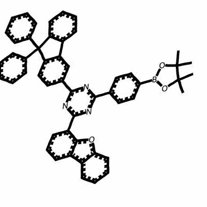 CC1(C)OB(c2ccc(-c3nc(-c4ccc5c(c4)-c4ccccc4C5(c4ccccc4)c4ccccc4)nc(-c4cccc5c4oc4ccccc45)n3)cc2)OC1(C)C